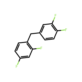 Fc1ccc(Cc2ccc(F)c(F)c2)c(F)c1